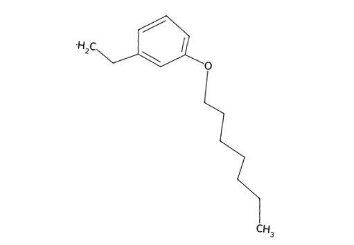 [CH2]Cc1cccc(OCCCCCCC)c1